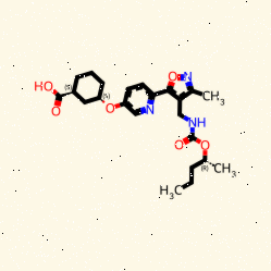 CCC[C@@H](C)OC(=O)NCc1c(C)noc1-c1ccc(O[C@H]2CCC[C@H](C(=O)O)C2)cn1